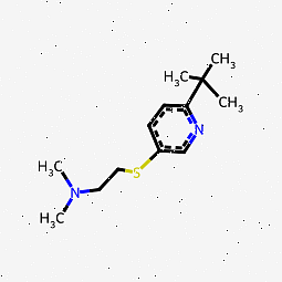 CN(C)CCSc1ccc(C(C)(C)C)nc1